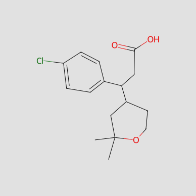 CC1(C)CC(C(CC(=O)O)c2ccc(Cl)cc2)CCO1